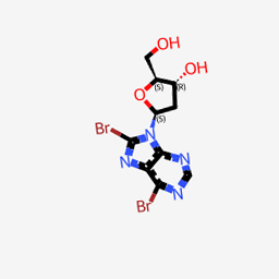 OC[C@@H]1O[C@H](n2c(Br)nc3c(Br)ncnc32)C[C@H]1O